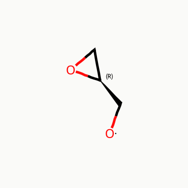 [O]C[C@@H]1CO1